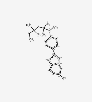 CCC(C)(C)CC(C)(C)N(C)c1ccc(-c2nc3ccc(O)cc3s2)cc1